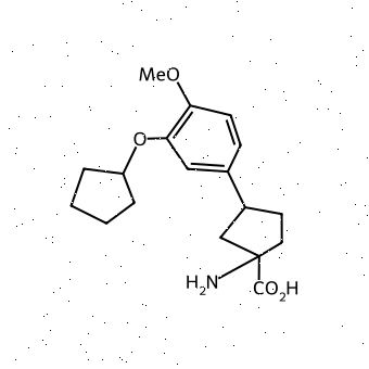 COc1ccc(C2CCC(N)(C(=O)O)C2)cc1OC1CCCC1